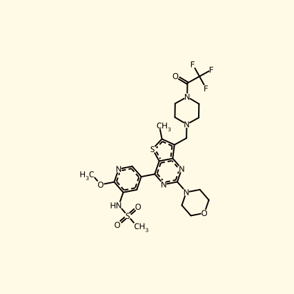 COc1ncc(-c2nc(N3CCOCC3)nc3c(CN4CCN(C(=O)C(F)(F)F)CC4)c(C)sc23)cc1NS(C)(=O)=O